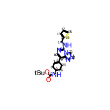 CC(C)(C)OC(=O)NC1CC=C(c2cnc(NCc3cccs3)n3cnnc23)CC1